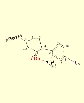 CCCCCC1CCC(c2ccc(I)cc2)CC1.CO